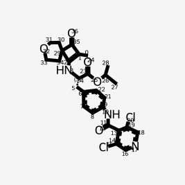 CC1=C(N[C@@H](Cc2ccc(NC(=O)c3c(Cl)cncc3Cl)cc2)C(=O)OC(C)C)C2(CCOCC2)C1=O